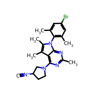 [C-]#[N+]C1CCN(c2nc(C)nc3c2c(C)c(C)n3-c2c(C)cc(Br)cc2C)C1